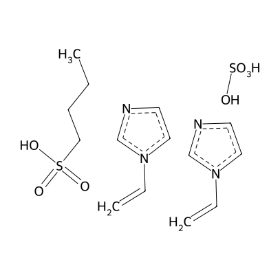 C=Cn1ccnc1.C=Cn1ccnc1.CCCCS(=O)(=O)O.O=S(=O)(O)O